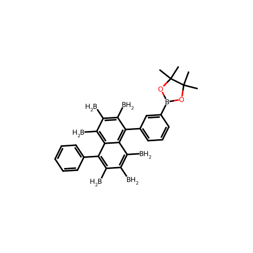 Bc1c(B)c(-c2cccc(B3OC(C)(C)C(C)(C)O3)c2)c2c(B)c(B)c(B)c(-c3ccccc3)c2c1B